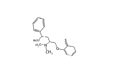 CC(=O)OC(CC(COC1=CC=CCC1=S)N(C)C)c1ccccc1